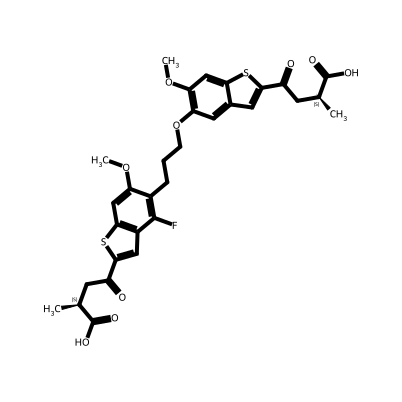 COc1cc2sc(C(=O)C[C@H](C)C(=O)O)cc2cc1OCCCc1c(OC)cc2sc(C(=O)C[C@H](C)C(=O)O)cc2c1F